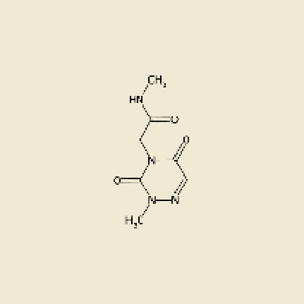 CNC(=O)Cn1c(=O)cnn(C)c1=O